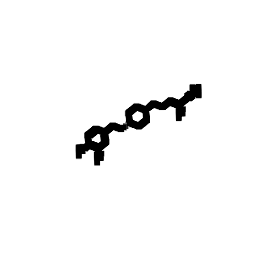 N#CC(F)=CCC[C@H]1CC[C@H](CCc2ccc(F)c(F)c2)CC1